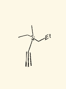 C#C[Si](C)(C)CC